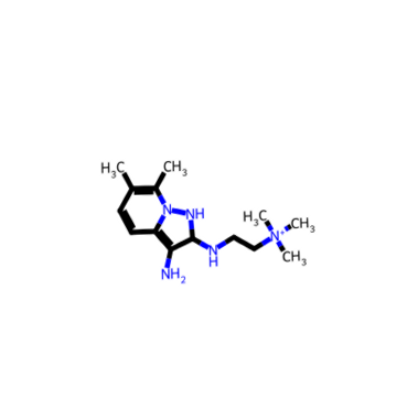 CC1=C(C)N2NC(NCC[N+](C)(C)C)C(N)=C2C=C1